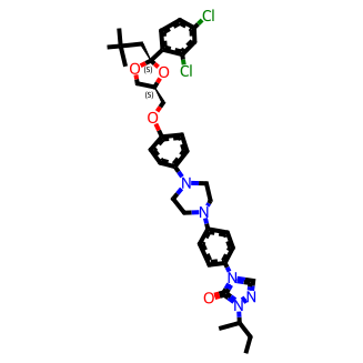 CCC(C)n1ncn(-c2ccc(N3CCN(c4ccc(OC[C@H]5CO[C@](CC(C)(C)C)(c6ccc(Cl)cc6Cl)O5)cc4)CC3)cc2)c1=O